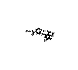 CC(C)(C)OC(=O)N1CCN[C@H](COc2cc(Br)c(F)c3ncnc(O)c23)C1